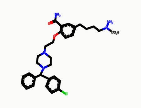 NC(=O)c1cc(CCCCN(N)C(=O)O)ccc1OCCN1CCN(C(c2ccccc2)c2ccc(Cl)cc2)CC1